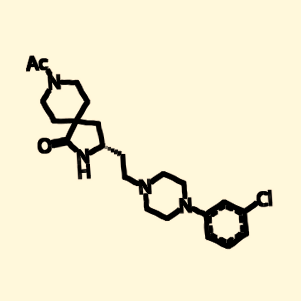 CC(=O)N1CCC2(CC1)C[C@H](CCN1CCN(c3cccc(Cl)c3)CC1)NC2=O